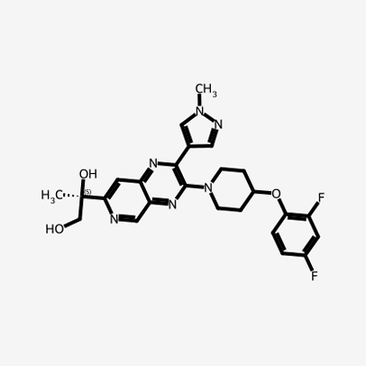 Cn1cc(-c2nc3cc([C@](C)(O)CO)ncc3nc2N2CCC(Oc3ccc(F)cc3F)CC2)cn1